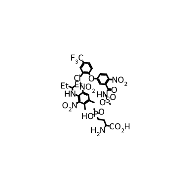 CCC(CC)Nc1c([N+](=O)[O-])cc(C)c(C)c1[N+](=O)[O-].CP(=O)(O)CCC(N)C(=O)O.CS(=O)(=O)NC(=O)c1cc(Oc2ccc(C(F)(F)F)cc2Cl)ccc1[N+](=O)[O-]